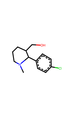 CN1CCCC(CO)C1c1ccc(Cl)cc1